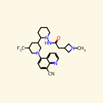 CN1CC(CC(=O)NN2CCCCC2C2CC(C(F)(F)F)CN(c3ccc(C#N)c4ncccc34)C2)C1